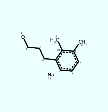 Cc1cccc(CCC[O-])c1C.[Na+]